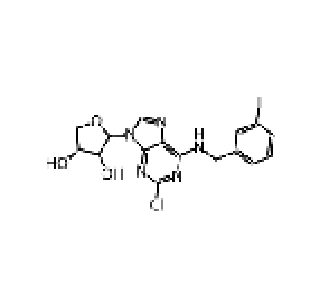 O[C@@H]1[C@H](n2cnc3c(NCc4cccc(I)c4)nc(Cl)nc32)OC[C@@H]1O